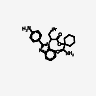 CC(C)CC(C(=O)OC1(C(N)=O)CCCCC1)n1c(-c2ccc(N)cc2)nc2ccccc21